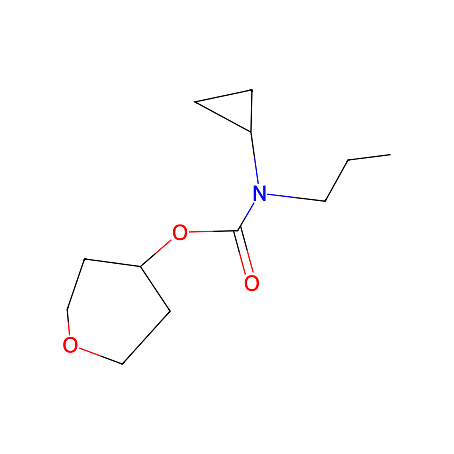 CCCN(C(=O)OC1CCOCC1)C1CC1